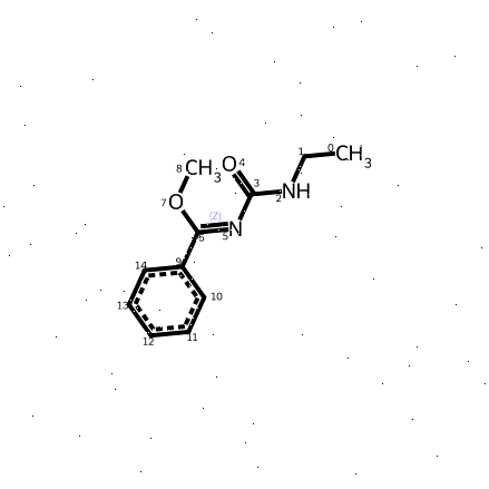 CCNC(=O)/N=C(\OC)c1ccccc1